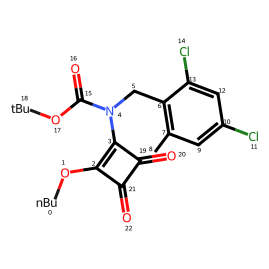 CCCCOc1c(N(Cc2c(C)cc(Cl)cc2Cl)C(=O)OC(C)(C)C)c(=O)c1=O